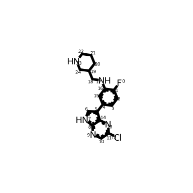 Fc1ccc(-c2c[nH]c3ncc(Cl)nc23)cc1NCC1CCCNC1